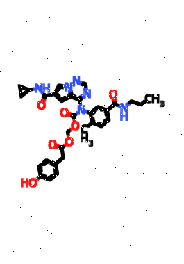 CCCNC(=O)c1ccc(C)c(N(C(=O)OCOC(=O)Cc2ccc(O)cc2)c2ncnn3cc(C(=O)NC4CC4)cc23)c1